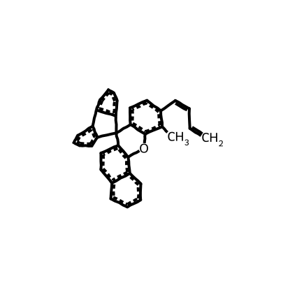 C=C/C=C\c1ccc2c(c1C)Oc1c(ccc3ccccc13)C21c2ccccc2-c2ccccc21